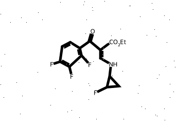 CCOC(=O)C(=CNC1CC1F)C(=O)c1ccc(F)c(F)c1F